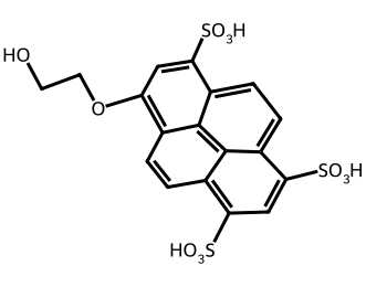 O=S(=O)(O)c1cc(OCCO)c2ccc3c(S(=O)(=O)O)cc(S(=O)(=O)O)c4ccc1c2c34